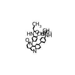 CC=CC(=O)Nc1cc(-n2c(=O)ccc3cnc4ccc(-c5ccc(NS(C)(=O)=O)cc5)cc4c32)ccc1C